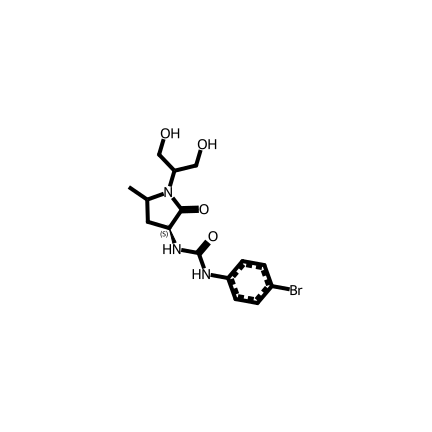 CC1C[C@H](NC(=O)Nc2ccc(Br)cc2)C(=O)N1C(CO)CO